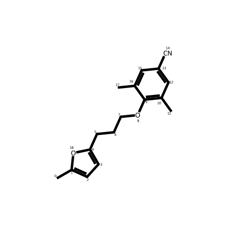 Cc1ccc(CCCOc2c(C)cc(C#N)cc2C)o1